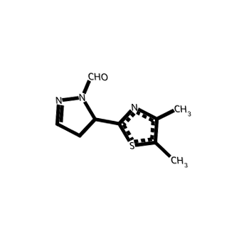 Cc1nc(C2CC=NN2C=O)sc1C